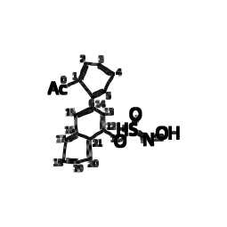 CC(=O)c1ccccc1.O=[SH](=NO)Oc1cccc2ccccc12